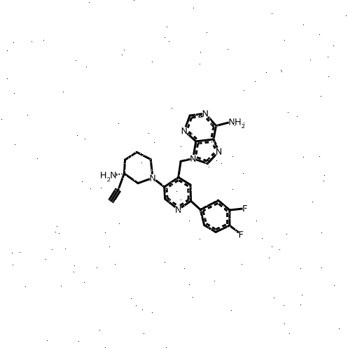 C#C[C@@]1(N)CCCN(c2cnc(-c3ccc(F)c(F)c3)cc2Cn2cnc3c(N)ncnc32)C1